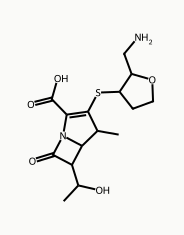 CC(O)C1C(=O)N2C(C(=O)O)=C(SC3CCOC3CN)C(C)C12